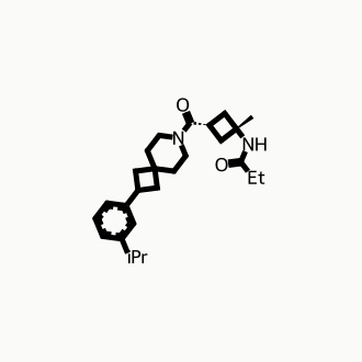 CCC(=O)N[C@]1(C)C[C@H](C(=O)N2CCC3(CC2)CC(c2cccc(C(C)C)c2)C3)C1